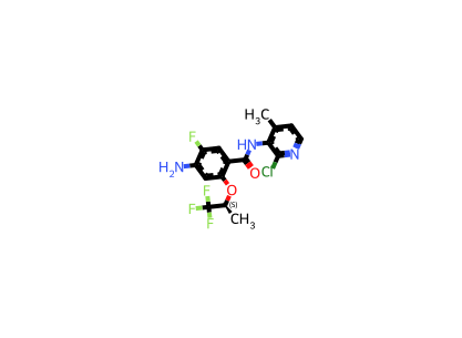 Cc1ccnc(Cl)c1NC(=O)c1cc(F)c(N)cc1O[C@@H](C)C(F)(F)F